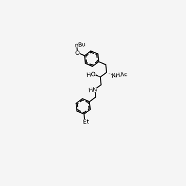 CCCCOc1ccc(C[C@H](NC(C)=O)[C@H](O)CNCc2cccc(CC)c2)cc1